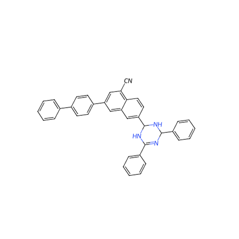 N#Cc1cc(-c2ccc(-c3ccccc3)cc2)cc2cc(C3NC(c4ccccc4)=NC(c4ccccc4)N3)ccc12